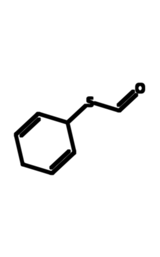 O=CSC1C=CCC=C1